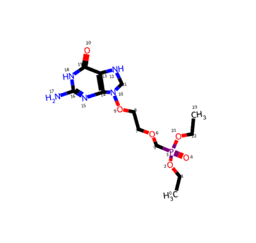 CCOP(=O)(COCCON1CNc2c1nc(N)[nH]c2=O)OCC